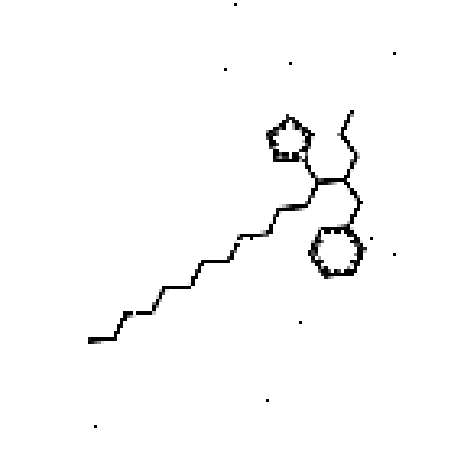 CCCCCCCCCCCCC(C(CCC)Cc1ccccc1)n1ccnc1